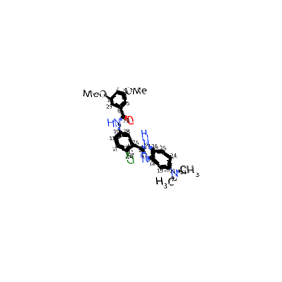 COc1cc(OC)cc(C(=O)Nc2ccc(Cl)c(-c3nc4cc(N(C)C)ccc4[nH]3)c2)c1